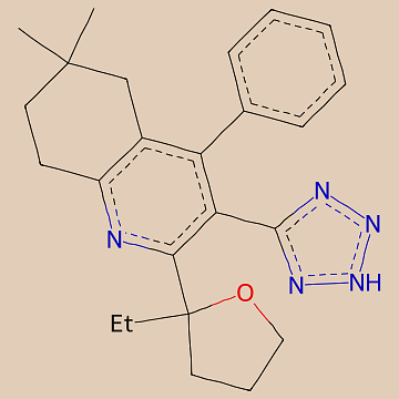 CCC1(c2nc3c(c(-c4ccccc4)c2-c2nn[nH]n2)CC(C)(C)CC3)CCCO1